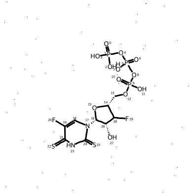 O=P(O)(O)OP(=O)(O)OP(=O)(O)OC[C@H]1O[C@@H](n2cc(F)c(=S)[nH]c2=S)[C@@H](O)C1F